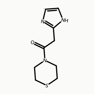 O=C(Cc1n[c]c[nH]1)N1CCSCC1